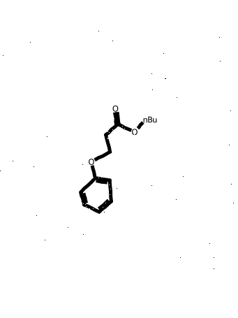 CCCCOC(=O)CCOc1ccccc1